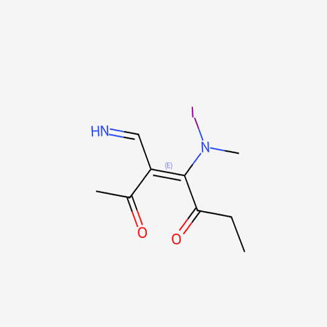 CCC(=O)/C(=C(/C=N)C(C)=O)N(C)I